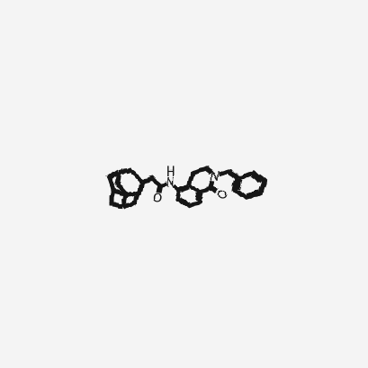 O=C(CC12CC3CC4CC(C1)C4(C3)C2)Nc1cccc2c1CCN(Cc1ccccc1)C2=O